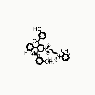 Cc1ccccc1N(C)CCCS(=O)(=O)N1C[C@H](C(=O)c2cccc(O)c2)C(c2cccc(F)c2C)[C@@H](C(=O)c2cccc(O)c2)C1